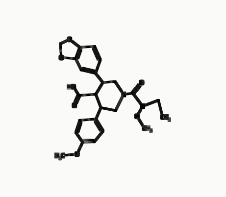 CCN(OC)C(=O)N1CC(c2ccc(OC)cc2)C(C(=O)O)C(c2ccc3c(c2)OCO3)C1